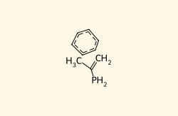 C=C(C)P.c1ccccc1